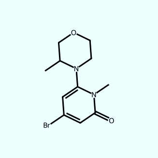 CC1COCCN1c1cc(Br)cc(=O)n1C